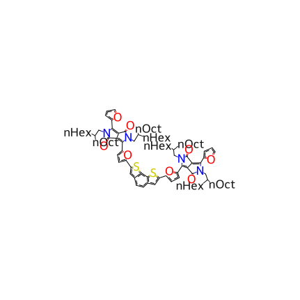 CCCCCCCCC(CCCCCC)CN1C(=O)C2=C(c3ccc(-c4cc5ccc6cc(-c7ccc(C8=C9C(=O)N(CC(CCCCCC)CCCCCCCC)C(c%10ccco%10)=C9C(=O)N8CC(CCCCCC)CCCCCCCC)o7)sc6c5s4)o3)N(CC(CCCCCC)CCCCCCCC)C(=O)C2=C1c1ccco1